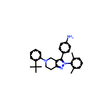 Cc1cccc(C)c1-n1nc2c(c1-c1ccc(N)cc1)CN(c1ccccc1C(C)(C)C)CC2